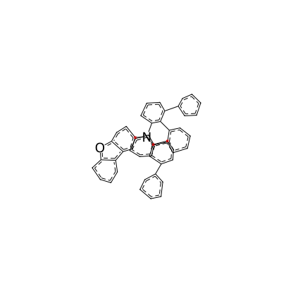 c1ccc(-c2cccc(N(c3ccc4oc5ccccc5c4c3)c3cccc(-c4ccccc4)c3-c3ccccc3-c3ccccc3)c2)cc1